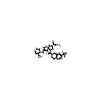 NC(=O)N1CC(C(=O)N2CCc3ncc(C(F)(F)F)cc3C2)[C@@]2(CC[C@H](N[C@@H]3CCOC[C@@H]3O)C2)C1